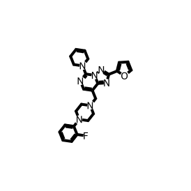 Fc1ccccc1N1CCN(Cc2cnc(N3CC=CCC3)n3nc(-c4ccco4)nc23)CC1